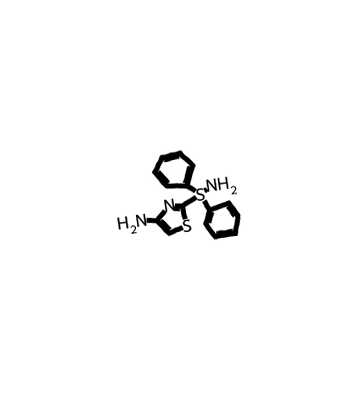 Nc1csc(S(N)(c2ccccc2)c2ccccc2)n1